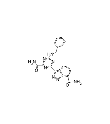 NC(=O)c1nc(NCc2ccccc2)nc(-c2nnc3c(C(N)=O)cccn23)n1